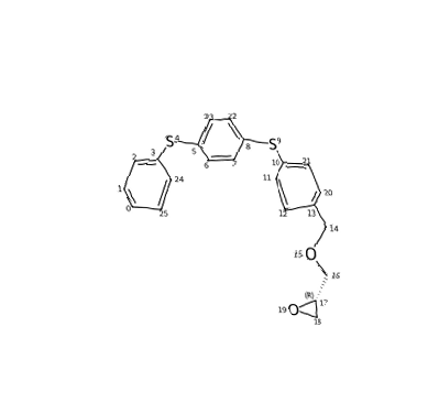 c1ccc(Sc2ccc(Sc3ccc(COC[C@@H]4CO4)cc3)cc2)cc1